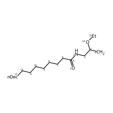 [CH2]C(CNC(=O)CCCCCCCCCCCCCCCCC)OCC